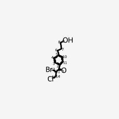 O=C(c1ccc(CCCO)cc1)C(Br)CCl